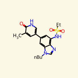 CCCCn1cnc2c(NS(=O)(=O)CC)cc(-c3c[nH]c(=O)c(C)c3)cc21